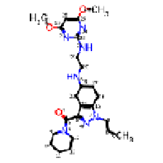 CCCn1nc(C(=O)N2CCCCC2)c2c1CCC(NCCNc1nc(OC)cc(OC)n1)C2